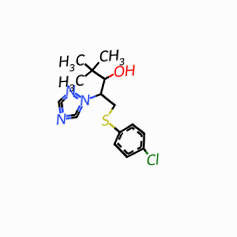 CC(C)(C)C(O)C(CSc1ccc(Cl)cc1)n1cncn1